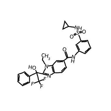 CCn1c(C(O)(c2ccccc2)C(F)(F)F)nc2ccc(C(=O)Nc3cccc(S(=O)(=O)NC4CC4)c3)cc21